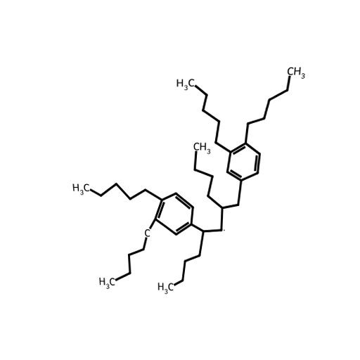 CCCCCc1ccc(CC([CH]C(CCCC)c2ccc(CCCCC)c(CCCCC)c2)CCCC)cc1CCCCC